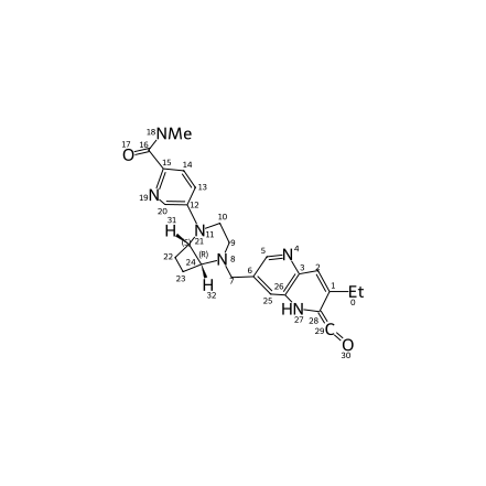 CCC1=Cc2ncc(CN3CCN(c4ccc(C(=O)NC)nc4)[C@H]4CC[C@H]43)cc2NC1=C=O